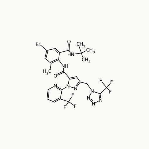 Cc1cc(Br)cc(C(=O)NC(C)(C)C)c1NC(=O)c1cc(Cn2nnnc2C(F)(F)F)nn1-c1ncccc1C(F)(F)F